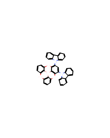 c1cc2c3c(c1)Oc1c(-n4c5ccccc5c5ccccc54)cc(-n4c5ccccc5c5ccccc54)c4c1B3c1c(cccc1O4)O2